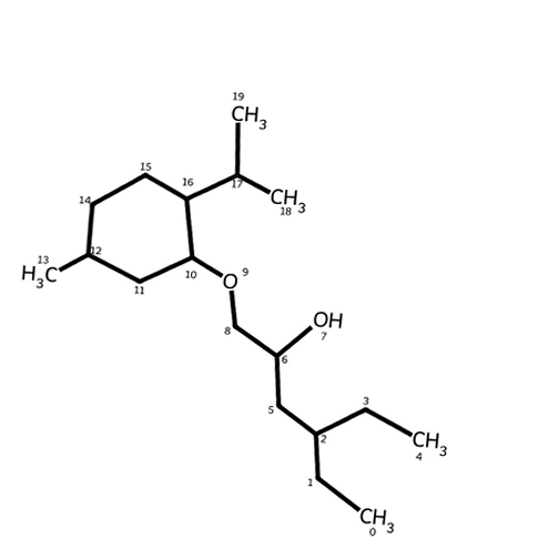 CCC(CC)CC(O)COC1CC(C)CCC1C(C)C